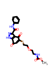 COC(=O)NCCOCCSC1=CC(=O)c2[nH]nc(C(=O)Nc3ccccc3)c2C1=O